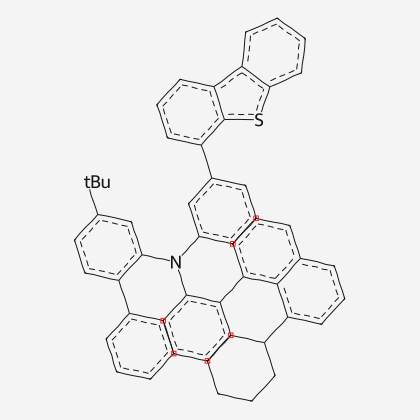 CC(C)(C)c1ccc(-c2ccccc2)c(N(c2cccc(-c3cccc4c3sc3ccccc34)c2)c2ccccc2-c2cccc3cccc(C4CCCCC4)c23)c1